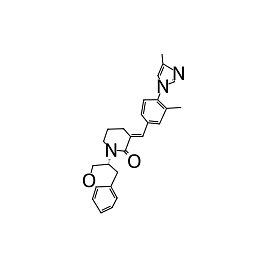 Cc1cn(-c2ccc(/C=C3\CCCN([C@H]4COc5ccccc5C4)C3=O)cc2C)cn1